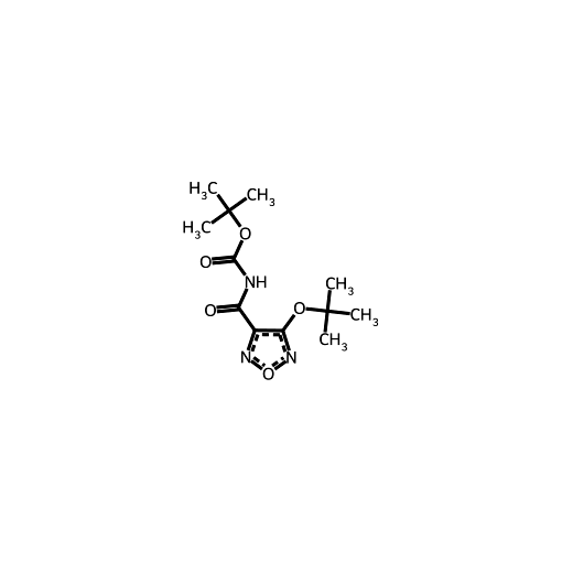 CC(C)(C)OC(=O)NC(=O)c1nonc1OC(C)(C)C